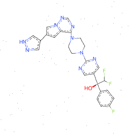 O[C@@](c1ccc(F)cc1)(c1cnc(N2CCN(c3ncnn4cc(-c5cn[nH]c5)cc34)CC2)nc1)C(F)F